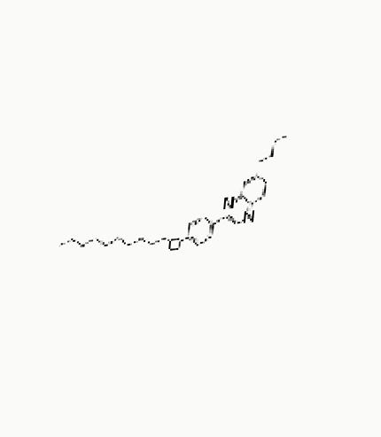 CCCCCCCCCCOc1ccc(-c2cnc3ccc(CCCC)cc3n2)cc1